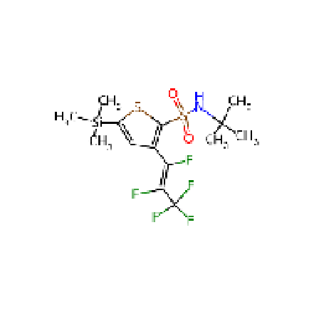 CC(C)(C)NS(=O)(=O)c1sc([Si](C)(C)C)cc1C(F)=C(F)C(F)(F)F